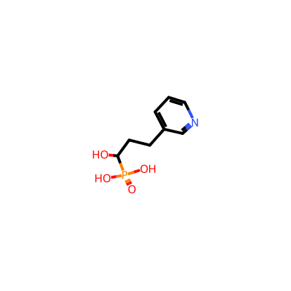 O=P(O)(O)C(O)CCc1cccnc1